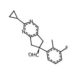 Cc1c(F)cccc1[C@@]1(C=O)Cc2cnc(C3CC3)nc2C1